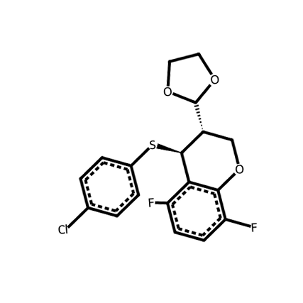 Fc1ccc(F)c2c1OC[C@@H](C1OCCO1)[C@@H]2Sc1ccc(Cl)cc1